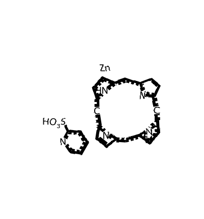 C1=Cc2cc3ccc(cc4nc(cc5ccc(cc1n2)[nH]5)C=C4)[nH]3.O=S(=O)(O)c1ccccn1.[Zn]